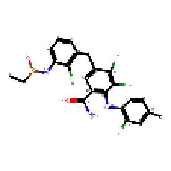 CC[S+]([O-])Nc1cccc(Cc2cc(C(N)=O)c(Nc3ccc(C)cc3F)c(F)c2F)c1F